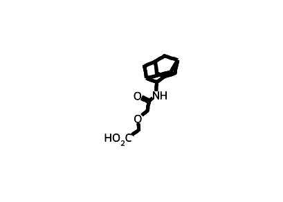 O=C(O)COCC(=O)NC1C2CC3CC(C2)CC1C3